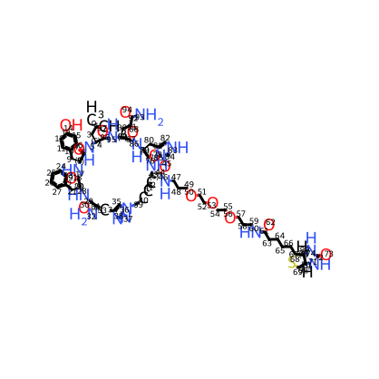 CC(C)C[C@@H]1NC(=O)[C@H](Cc2ccc(O)cc2)NC(=O)[C@H](Cc2ccccc2)NC(=O)[C@@H](N)Cc2cn(nn2)CCCC[C@@H](C(=O)NCCCOCCOCCOCCCNC(=O)CCCCC2SC[C@H]3NC(=O)N[C@@H]23)NC(=O)[C@H](Cc2c[nH]cn2)NC(=O)[C@H](CCC(N)=O)NC1=O